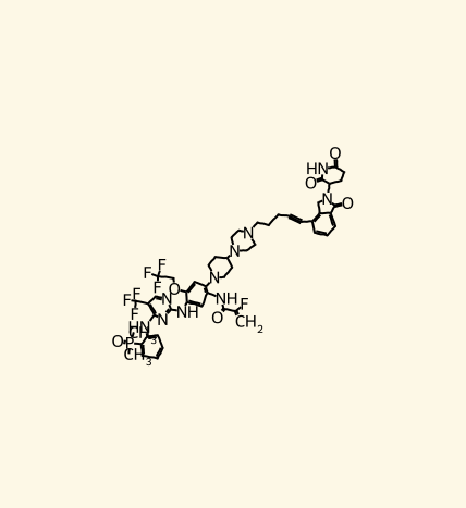 C=C(F)C(=O)Nc1cc(Nc2ncc(C(F)(F)F)c(Nc3ccccc3P(C)(C)=O)n2)c(OCC(F)(F)F)cc1N1CCC(N2CCN(CCCC#Cc3cccc4c3CN(C3CCC(=O)NC3=O)C4=O)CC2)CC1